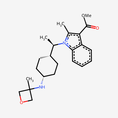 COC(=O)c1c(C)n([C@H](C)[C@H]2CC[C@@H](NC3(C)COC3)CC2)c2ccccc12